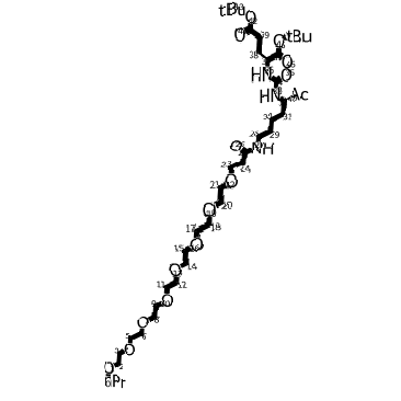 CCCOCCOCCOCCOCCOCCOCCOCCOCCC(=O)NCCCC[C@H](NC(=O)N[C@@H](CCC(=O)OC(C)(C)C)C(=O)OC(C)(C)C)C(C)=O